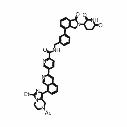 CCc1nc(-c2cccc3cc(-c4ccc(C(=O)NCc5cccc(-c6cccc7c6CN(C6CCC(=O)NC6=O)C7=O)c5)nc4)ncc23)c2n1CCN(C(C)=O)C2